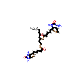 O=C(O)CCCCC(CCSC(=O)CCCCC1SCC2NC(=O)NC21)SC(=O)CCCCC1SCC2NC(=O)NC21